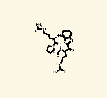 CC(=O)N[C@H](CCCNC(=N)N)C(=O)N1CCC[C@H]1C(=O)NC(CCCNC(=N)N)C(=O)c1nc2ccccc2s1